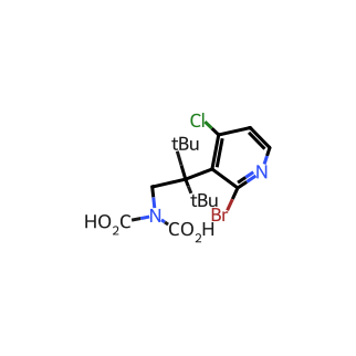 CC(C)(C)C(CN(C(=O)O)C(=O)O)(c1c(Cl)ccnc1Br)C(C)(C)C